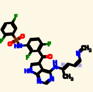 C=N/C=C\C=C(/C)Nc1ncnc2[nH]cc(C(=O)c3c(F)ccc(NS(=O)(=O)c4cc(F)ccc4F)c3F)c12